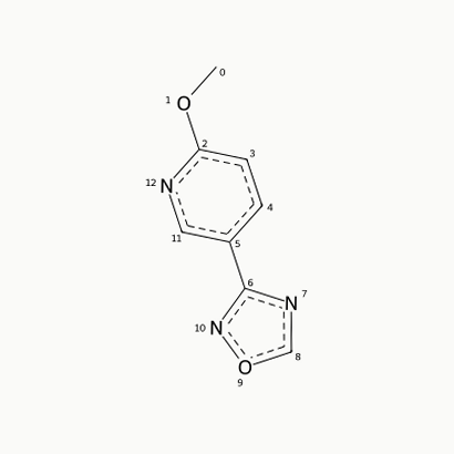 COc1ccc(-c2ncon2)cn1